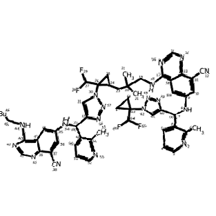 Cc1ncccc1[C@H](Nc1cc(C#N)c2ncnc(NCC(C)(C)CC3CC3(C(F)F)n3cc([C@H](Nc4cc(C#N)c5ncnc(NCC(C)(C)C)c5c4)c4cccnc4C)nn3)c2c1)c1cn(C2(C(F)F)CC2)nn1